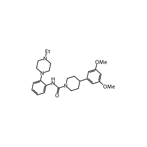 CCN1CCN(c2ccccc2NC(=O)N2CCC(c3cc(OC)cc(OC)c3)CC2)CC1